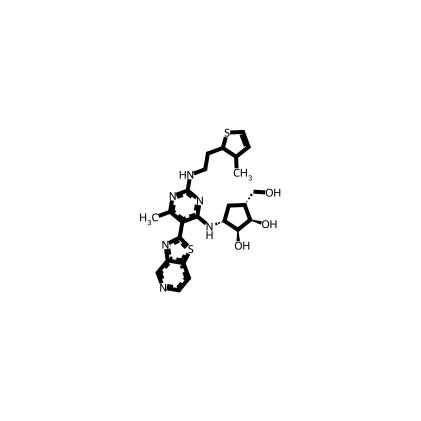 Cc1nc(NCCC2SC=CC2C)nc(N[C@@H]2C[C@H](CO)[C@@H](O)[C@H]2O)c1-c1nc2cnccc2s1